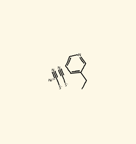 CCc1cccnc1.N#C[S-].N#C[S-].[Ni+2]